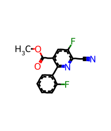 COC(=O)c1cc(F)c(C#N)nc1-c1ccccc1F